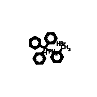 Br.Cc1ccccc1.P[PH](c1ccccc1)(c1ccccc1)c1ccccc1